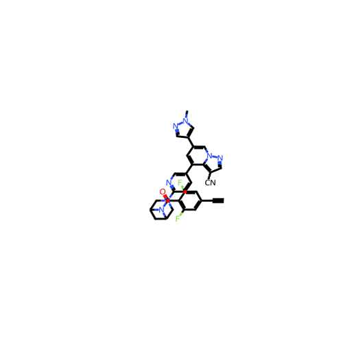 C#Cc1cc(F)c(C(=O)N2C3CC2CN(c2ccc(-c4cc(-c5cnn(C)c5)cn5ncc(C#N)c45)cn2)C3)c(F)c1